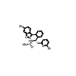 CC(C)(C)[S@+]([O-])N[C@@H](Cc1cccc(Br)n1)c1ccccc1-c1noc2cc(Br)ccc12